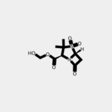 CC1(C)[C@H](C(=O)OCO)N2C(=O)C[C@H]2S1(=O)=O